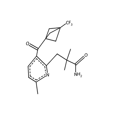 Cc1ccc(C(=O)C23CC(C(F)(F)F)(C2)C3)c(CC(C)(C)C(N)=O)n1